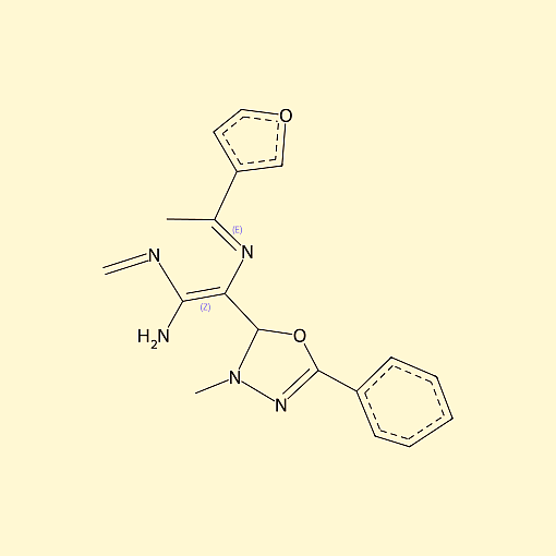 C=N/C(N)=C(\N=C(/C)c1ccoc1)C1OC(c2ccccc2)=NN1C